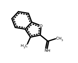 CC(=N)c1oc2ccccc2c1C